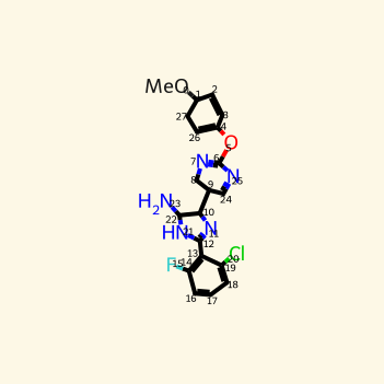 COC1C=CC(OC2=NCC(C3N=C(c4c(F)cccc4Cl)NC3N)C=N2)=CC1